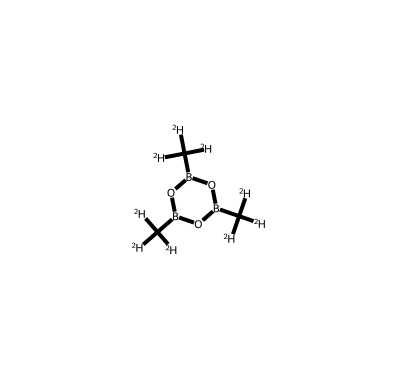 [2H]C([2H])([2H])B1OB(C([2H])([2H])[2H])OB(C([2H])([2H])[2H])O1